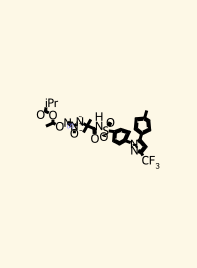 Cc1ccc(-c2cc(C(F)(F)F)nn2-c2ccc(S(=O)(=O)NC(=O)C(C)(C)N(C)/[N+]([O-])=N/OC(C)OC(=O)C(C)C)cc2)cc1